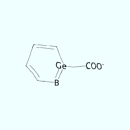 O=[C]([O-])[Ge]1=[B]C=CC=[CH]1